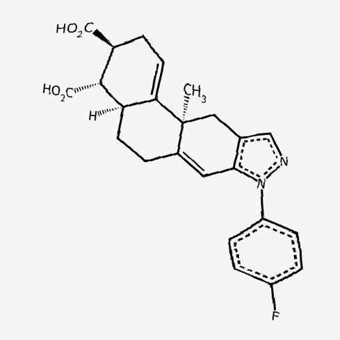 C[C@]12Cc3cnn(-c4ccc(F)cc4)c3C=C1CC[C@@H]1C2=CC[C@H](C(=O)O)[C@H]1C(=O)O